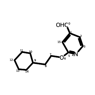 O=Cc1ccnc(OCCC2CCCCC2)c1